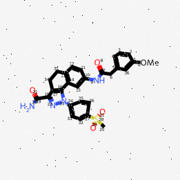 COc1cccc(CC(=O)Nc2ccc3c(c2)-c2c(c(C(N)=O)nn2-c2ccc(S(C)(=O)=O)cc2)CC3)c1